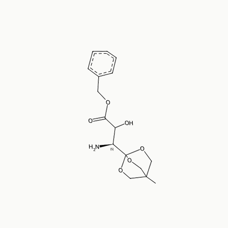 CC12COC([C@@H](N)C(O)C(=O)OCc3ccccc3)(OC1)OC2